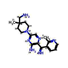 Cc1ncccc1C(=N)c1ncc(N2CCC(C)(CN)CC2)nc1N